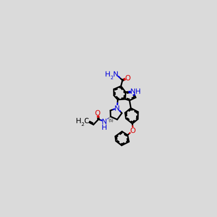 C=CC(=O)N[C@H]1CCN(c2ccc(C(N)=O)c3[nH]cc(-c4ccc(Oc5ccccc5)cc4)c23)C1